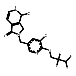 O=C1C2=C(CN1Cc1cnc(OCC(F)(F)C(F)F)c(Cl)c1)C(Cl)NC=C2